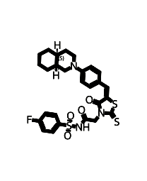 O=C(CN1C(=O)C(=Cc2ccc(N3CC[C@@H]4CCCC[C@H]4C3)cc2)SC1=S)NS(=O)(=O)c1ccc(F)cc1